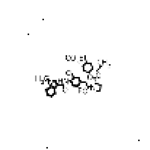 C=CCOC(O[C@H]1CC[C@H](C(=O)OCC)CC1)[C@@H]1CCCN1C(=O)Cc1cc(Cl)c(NC(=O)c2cn(C)c3ccccc23)cc1F